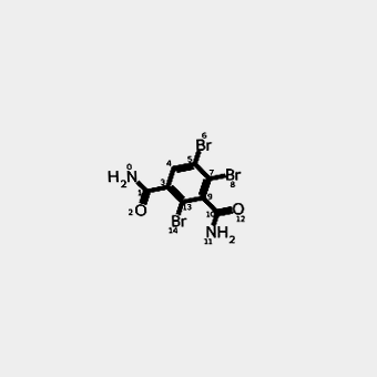 NC(=O)c1cc(Br)c(Br)c(C(N)=O)c1Br